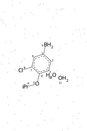 Bc1ccc(OC(C)C)c(Cl)c1.O.O